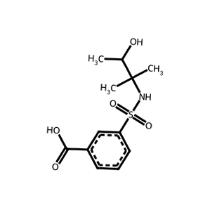 CC(O)C(C)(C)NS(=O)(=O)c1cccc(C(=O)O)c1